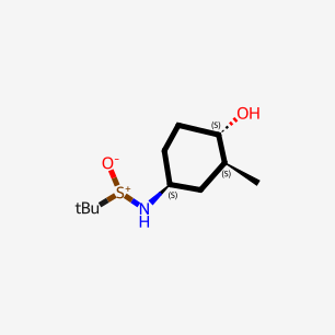 C[C@H]1C[C@@H](N[S+]([O-])C(C)(C)C)CC[C@@H]1O